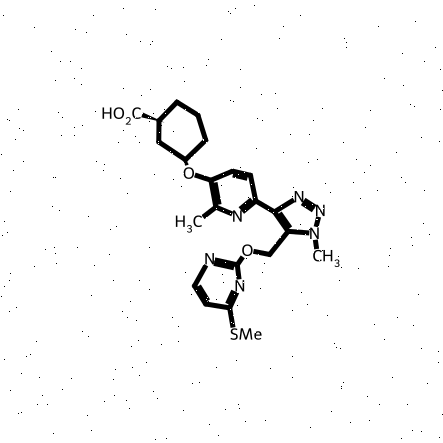 CSc1ccnc(OCc2c(-c3ccc(O[C@H]4CCC[C@H](C(=O)O)C4)c(C)n3)nnn2C)n1